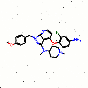 COc1ccc(Cn2nc(N(C)C3CCN(C)CC3)c3c(Oc4ccc(N)cc4F)ccnc32)cc1